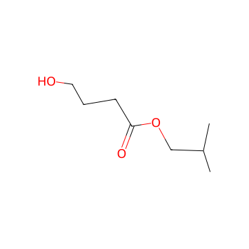 CC(C)COC(=O)CCCO